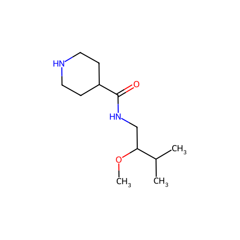 COC(CNC(=O)C1CCNCC1)C(C)C